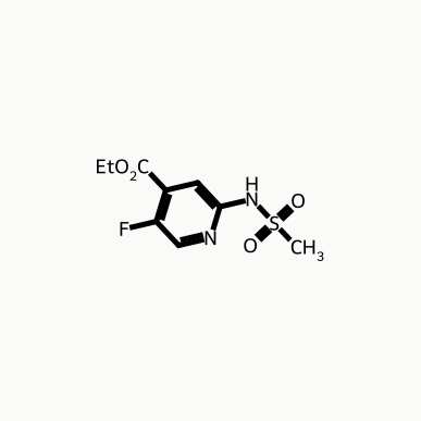 CCOC(=O)c1cc(NS(C)(=O)=O)ncc1F